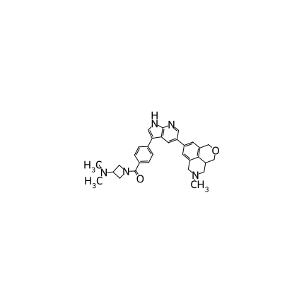 CN1Cc2cc(-c3cnc4[nH]cc(-c5ccc(C(=O)N6CC(N(C)C)C6)cc5)c4c3)cc3c2C(COC3)C1